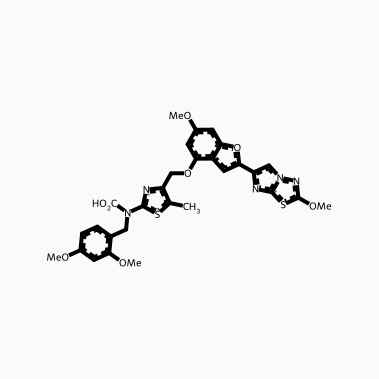 COc1ccc(CN(C(=O)O)c2nc(COc3cc(OC)cc4oc(-c5cn6nc(OC)sc6n5)cc34)c(C)s2)c(OC)c1